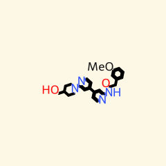 COc1cccc(CC(=O)Nc2cc(-c3ccnc(N4CCC(CO)CC4)c3)ccn2)c1